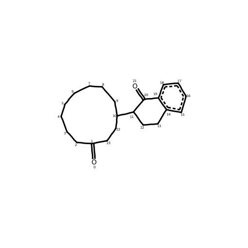 O=C1CCCCCCCCC(C2CCc3ccccc3C2=O)CC1